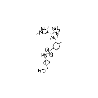 Cc1ccc(S(=O)(=O)NC23CC(CO)(C2)C3)cc1-c1cnc(N)c(-c2cn(C)nc2C)n1